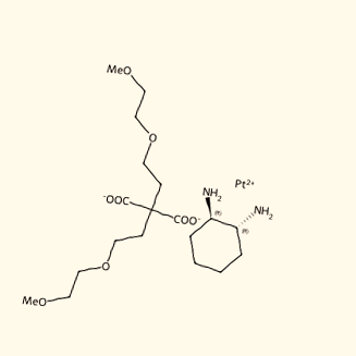 COCCOCCC(CCOCCOC)(C(=O)[O-])C(=O)[O-].N[C@@H]1CCCC[C@H]1N.[Pt+2]